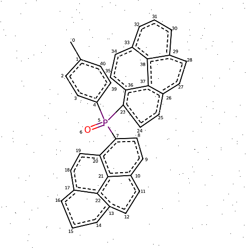 Cc1ccc(P(=O)(c2ccc3ccc4cccc5ccc2c3c45)c2ccc3ccc4cccc5ccc2c3c45)cc1